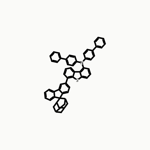 c1ccc(-c2ccc(N(c3ccc(-c4ccccc4)cc3)c3cccc4sc5c(-c6ccc7c(c6)-c6ccccc6C76C7CC8CC(C7)CC6C8)cccc5c34)cc2)cc1